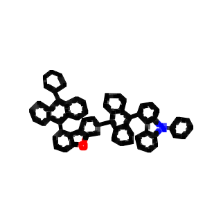 C1=CC(c2c3ccccc3c(-c3cccc4oc5cc(-c6c7ccccc7c(-c7cccc8c7c7ccccc7n8-c7ccccc7)c7ccccc67)ccc5c34)c3ccccc23)=CCC1